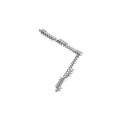 [Al+3].[Al+3].[Al+3].[Al+3].[Cu+2].[Cu+2].[Cu+2].[Cu+2].[Ga+3].[Ga+3].[Ga+3].[Ga+3].[In+3].[In+3].[In+3].[In+3].[S-2].[S-2].[S-2].[S-2].[S-2].[S-2].[S-2].[S-2].[S-2].[S-2].[S-2].[Se-2].[Se-2].[Se-2].[Se-2].[Se-2].[Se-2].[Se-2].[Se-2].[Se-2].[Se-2].[Se-2]